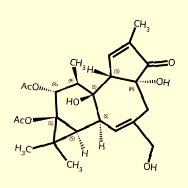 CC(=O)O[C@@H]1[C@@H](C)[C@@]2(O)[C@@H](C=C(CO)C[C@]3(O)C(=O)C(C)=C[C@@H]23)[C@H]2C(C)(C)[C@]12OC(C)=O